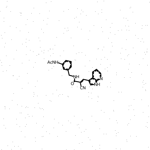 CC(=O)Nc1cccc(CNC(=O)/C(C#N)=C/c2c[nH]c3ncccc23)c1